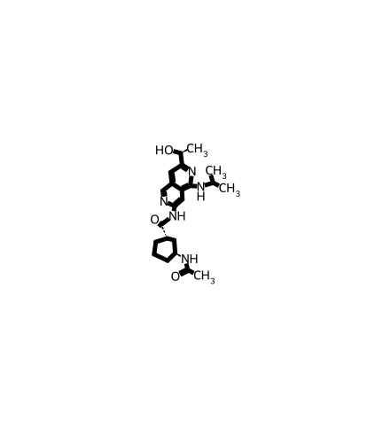 CC(=O)N[C@@H]1CCC[C@H](C(=O)Nc2cc3c(NC(C)C)nc([C@@H](C)O)cc3cn2)C1